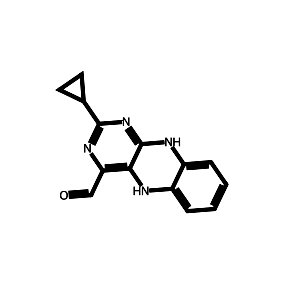 O=Cc1nc(C2CC2)nc2c1Nc1ccccc1N2